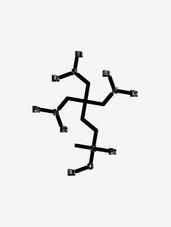 CCO[Si](C)(CC)CCC(CN(CC)CC)(CN(CC)CC)CN(CC)CC